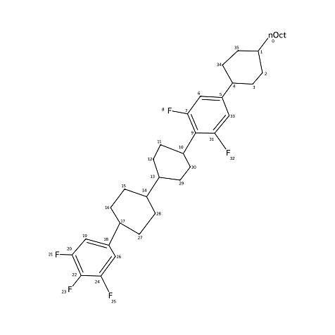 CCCCCCCCC1CCC(c2cc(F)c(C3CCC(C4CCC(c5cc(F)c(F)c(F)c5)CC4)CC3)c(F)c2)CC1